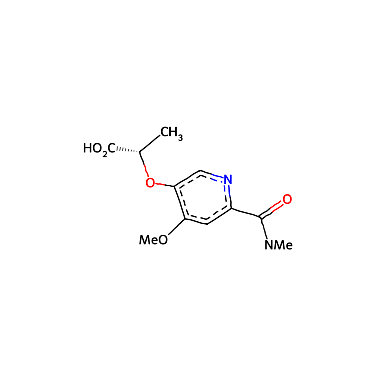 CNC(=O)c1cc(OC)c(O[C@@H](C)C(=O)O)cn1